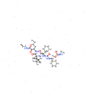 C=CCNC(=O)C(=O)C(CCCC)NC(=O)[C@@H]1[C@@H]2[C@H](CN1C(=O)[C@@H](NC(=O)N[C@H](COC(=O)NCC)C1CCCCC1)C1CCCCC1)C2(C)C